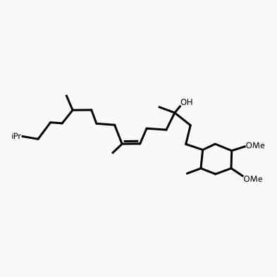 COC1CC(C)C(CCC(C)(O)CCC=C(C)CCCC(C)CCCC(C)C)CC1OC